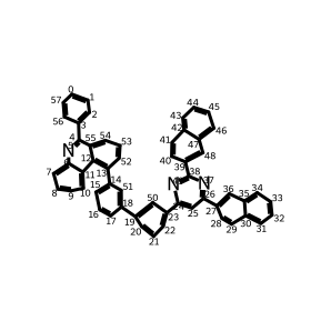 c1ccc(-c2nc3ccccc3c3c(-c4cccc(-c5cccc(-c6cc(-c7ccc8ccccc8c7)nc(-c7ccc8ccccc8c7)n6)c5)c4)cccc23)cc1